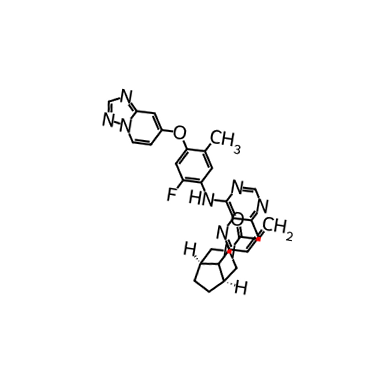 C=CC(=O)N1C[C@H]2CC[C@@H](C1)C2c1ccc2ncnc(Nc3cc(C)c(Oc4ccn5ncnc5c4)cc3F)c2n1